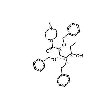 CC[C@@H](O)[C@@H](OCc1ccccc1)[C@H](OCc1ccccc1)[C@@H](OCc1ccccc1)C(=O)N1CCN(C)CC1